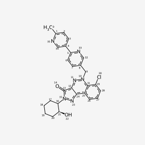 Cc1ccc(-c2ccc(Cn3nc4c(=O)n(C5CCCC[C@@H]5O)nc-4c4cccc(Cl)c43)cn2)cn1